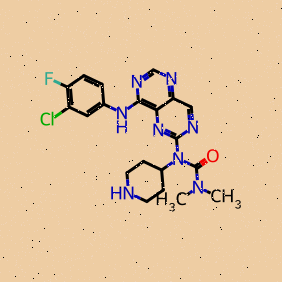 CN(C)C(=O)N(c1ncc2ncnc(Nc3ccc(F)c(Cl)c3)c2n1)C1CCNCC1